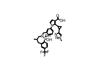 CC1Cc2cc(C(F)(F)F)ccc2S(O)(O)N(Cc2cccc(-n3ccc(C(=O)O)c3C3CC3c3cn(C)nn3)c2)C1